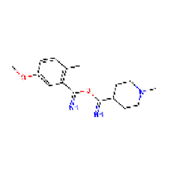 COc1ccc(C)c(C(=N)OC(=N)C2CCN(C)CC2)c1